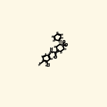 O=C(Nc1ccc(F)c(Cl)c1)N1CCS(=O)(=O)[C@@H](c2ccccc2)C1